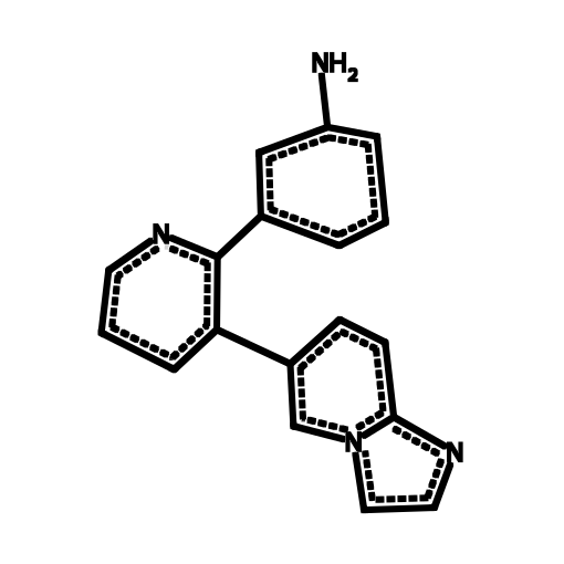 Nc1cccc(-c2ncccc2-c2ccc3nccn3c2)c1